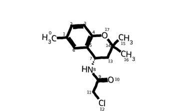 Cc1ccc2c(c1)[C@@H](NC(=O)CCl)CC(C)(C)O2